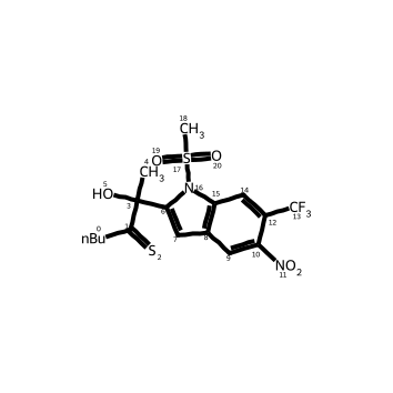 CCCCC(=S)C(C)(O)c1cc2cc([N+](=O)[O-])c(C(F)(F)F)cc2n1S(C)(=O)=O